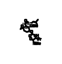 CNC(=O)C(NC(=O)O[C@@H]1CCC2(CO2)[C@@H]([C@@]2(C)O[C@@H]2CC=C(C)C)[C@@H]1OC)C(C)C